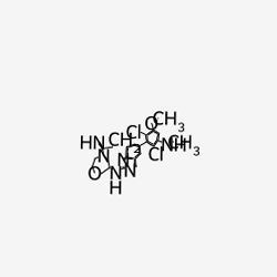 C=CC(=N)N1CCOCC(Nc2ncc3cc(-c4c(Cl)c(NC)cc(OC)c4Cl)ccc3n2)C1